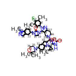 Cc1cc(-n2nc3c(c2-n2ccn(-c4ccc5c(cnn5C)c4)c2=O)CN(C(=O)c2cc4cc(N5CCOC(C)(C)C5)ccc4n2[C@@]2(c4noc(=O)[nH]4)C[C@H]2C)CC3)cc(C)c1F